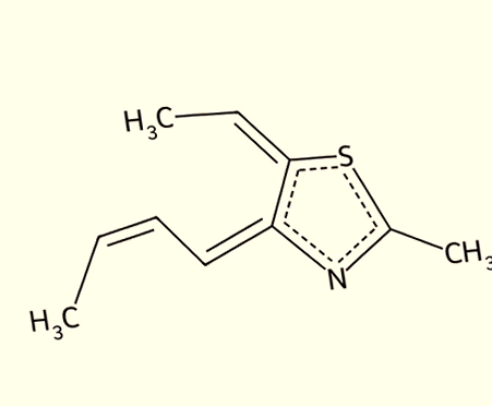 C\C=C/C=c1/nc(C)s/c1=C/C